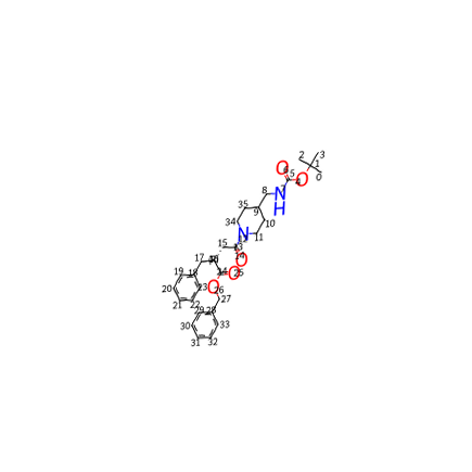 CC(C)(C)OC(=O)NCC1CCN(C(=O)C[C@@H](Cc2ccccc2)C(=O)OCc2ccccc2)CC1